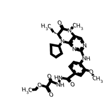 CCOC(=O)C(=O)NNC(=O)c1ccc(Nc2ncc3c(n2)N(C2CCCC2)[C@H](CC)C(=O)N3C)c(OC)c1